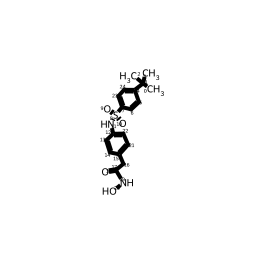 CC(C)(C)c1ccc(S(=O)(=O)Nc2ccc(CC(=O)NO)cc2)cc1